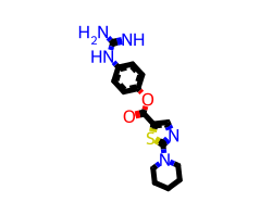 N=C(N)Nc1ccc(OC(=O)c2cnc(N3CCCCC3)s2)cc1